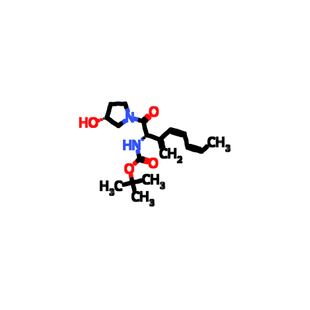 C=C(/C=C\C=C/C)[C@H](NC(=O)OC(C)(C)C)C(=O)N1CC[C@@H](O)C1